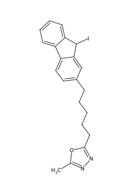 Cc1nnc(CCCCCc2ccc3c(c2)C(I)c2ccccc2-3)o1